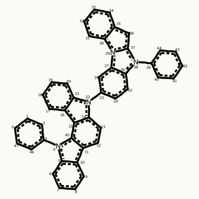 c1ccc(-n2c3ccccc3c3ccc4c(c5ccccc5n4-c4ccc5c(c4)n4c6ccccc6cc4n5-c4ccccc4)c32)cc1